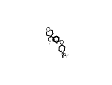 [CH2]C1(c2ccc(OC3CCN(C(C)C)CC3)cc2)CCOCC1